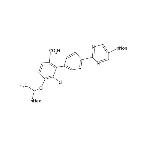 CCCCCCCCCc1cnc(-c2ccc(-c3c(C(=O)O)ccc(OC(C)CCCCCC)c3Cl)cc2)nc1